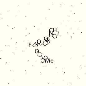 COC(=O)C1CCC(OC[C@@H]2C[C@H](F)CN2C(=O)Cc2ccc3nc(-c4cn(C)c5ccccc45)oc3c2)CC1